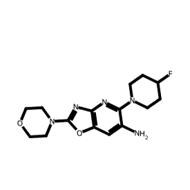 Nc1cc2oc(N3CCOCC3)nc2nc1N1CCC(F)CC1